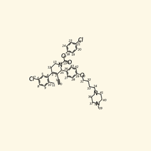 C#CC1=C(c2cc(Cl)ccc2C)CCN(C(=O)Oc2ccc(Cl)cc2)C1c1ccc(OCCCCN2CCN(C)CC2)cc1